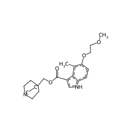 COCCOc1ccc2[nH]cc(C(=O)OCC34CCN(CC3)CC4)c2c1C